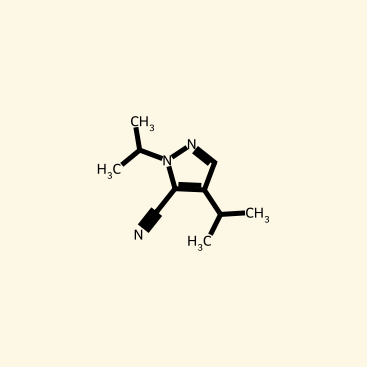 CC(C)c1cnn(C(C)C)c1C#N